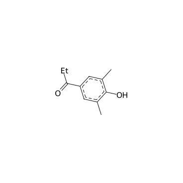 CCC(=O)c1cc(C)c(O)c(C)c1